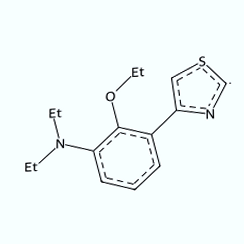 CCOc1c(-c2cs[c]n2)cccc1N(CC)CC